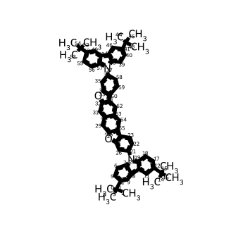 CC(C)(C)c1ccc2c(c1)c1cc(C(C)(C)C)ccc1n2-c1ccc2c(c1)oc1cc3cc4oc5cc(-n6c7ccc(C(C)(C)C)cc7c7cc(C(C)(C)C)ccc76)ccc5c4cc3cc12